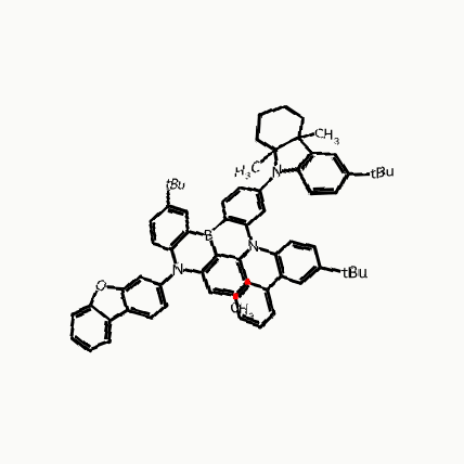 Cc1cc2c3c(c1)N(c1ccc(C(C)(C)C)cc1-c1ccccc1)c1cc(N4c5ccc(C(C)(C)C)cc5C5(C)CCCCC45C)ccc1B3c1cc(C(C)(C)C)ccc1N2c1ccc2c(c1)oc1ccccc12